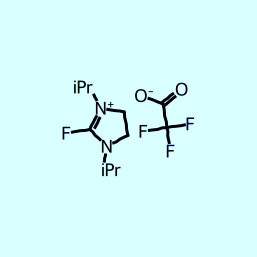 CC(C)N1CC[N+](C(C)C)=C1F.O=C([O-])C(F)(F)F